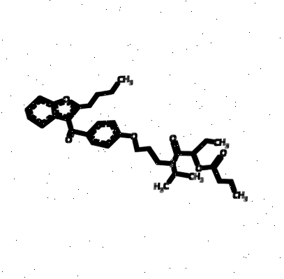 CCCCc1oc2ccccc2c1C(=O)c1ccc(OCCCN(C(=O)C(CC)OC(=O)CCC)C(C)C)cc1